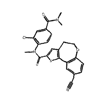 CN(C)C(=O)c1ccc(N(C)C(=O)c2cc3c(s2)-c2cc(C#N)ccc2OCC3)c(Cl)c1